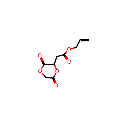 C=CCOC(=O)CC1OC(=O)COC1=O